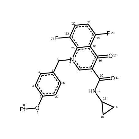 CCOc1ccc(Cn2cc(C(=O)NC3CC3)c(=O)c3c(F)ccc(F)c32)cc1